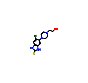 OCCN1CCN(c2cc3[nH]c(=S)[nH]c3cc2Cl)CC1